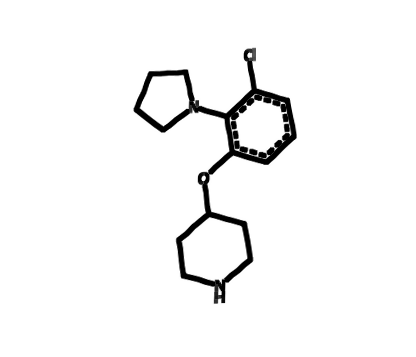 Clc1cccc(OC2CCNCC2)c1N1CCCC1